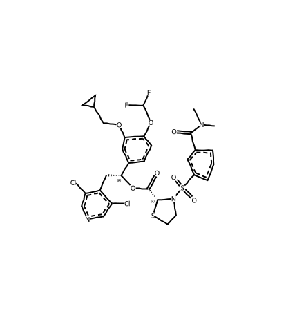 CN(C)C(=O)c1cccc(S(=O)(=O)N2CCS[C@@H]2C(=O)O[C@H](Cc2c(Cl)cncc2Cl)c2ccc(OC(F)F)c(OCC3CC3)c2)c1